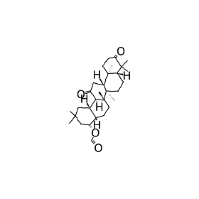 CC1(C)C[C@H]2[C@H](CC[C@]3(C)[C@@H]2C(=O)C[C@@H]2[C@@]4(C)CCC(=O)C(C)(C)[C@@H]4CC[C@]23C)[C@H](OC=O)C1